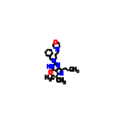 CCCC1=NC(C(C)C)c2c1nc(N(CCCN1CCOCC1)CC1CCCCC1)[nH]c2=O